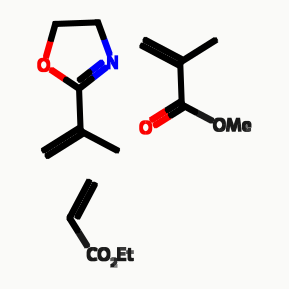 C=C(C)C(=O)OC.C=C(C)C1=NCCO1.C=CC(=O)OCC